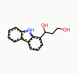 OCCC(O)c1cccc2c1[nH]c1ccccc12